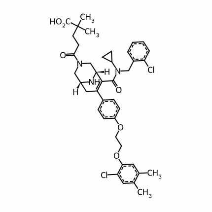 Cc1cc(Cl)c(OCCOc2ccc(C3=C(C(=O)N(Cc4ccccc4Cl)C4CC4)[C@H]4CN(C(=O)CCC(C)(C)C(=O)O)C[C@@H](C3)N4)cc2)cc1C